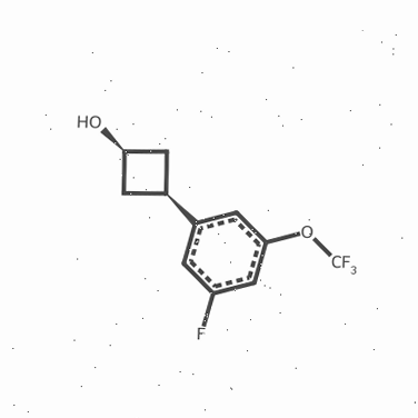 O[C@H]1C[C@@H](c2cc(F)cc(OC(F)(F)F)c2)C1